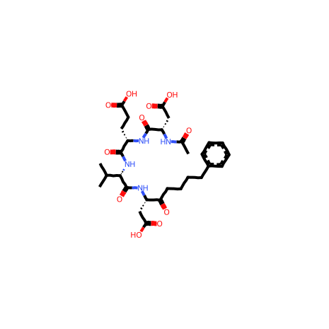 CC(=O)N[C@@H](CC(=O)O)C(=O)N[C@@H](CCC(=O)O)C(=O)N[C@H](C(=O)N[C@@H](CC(=O)O)C(=O)CCCCc1ccccc1)C(C)C